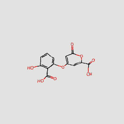 O=C(O)c1cc(Oc2cccc(O)c2C(=O)O)cc(=O)o1